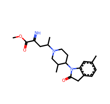 COC(=O)C(=N)CC(C)N1CCC(N2C(=O)Cc3ccc(C)cc32)C(C)C1